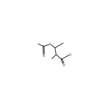 CC(=O)SC(C)C(C)C(=O)Cl